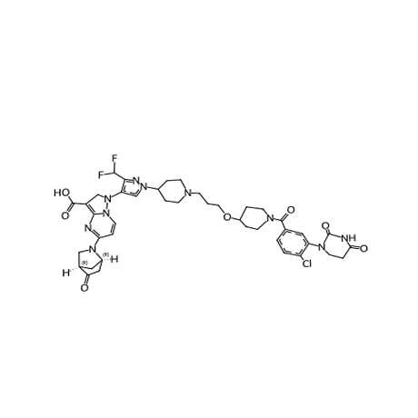 O=C1CCN(c2cc(C(=O)N3CCC(OCCCN4CCC(n5cc(N6CC(C(=O)O)=C7N=C(N8C[C@H]9C[C@@H]8CC9=O)C=CN76)c(C(F)F)n5)CC4)CC3)ccc2Cl)C(=O)N1